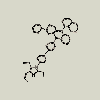 C=Cc1c(/C=C\C)nc(CC)n1-c1ccc(-c2ccc(-c3c4ccccc4c(-c4cccc5ccccc45)c4ccc(-c5ccccc5)cc34)cc2)cc1